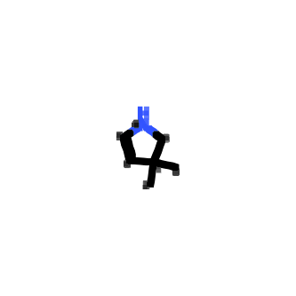 CC1(C)[CH]NC=C1